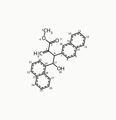 C=C(C(=O)OC)C(c1ccc2ccccc2c1)C(O)c1cccc2ccccc12